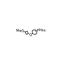 CCCCCCN1CCC(O[C@H]2C[C@H](OC)C2)CC1